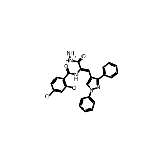 NNC(=O)/C(=C/c1cn(-c2ccccc2)nc1-c1ccccc1)NC(=O)c1ccc(Cl)cc1Cl